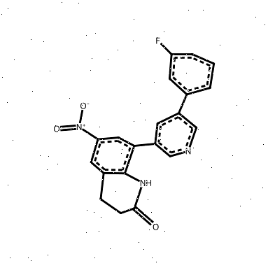 O=C1CCc2cc([N+](=O)[O-])cc(-c3cncc(-c4cccc(F)c4)c3)c2N1